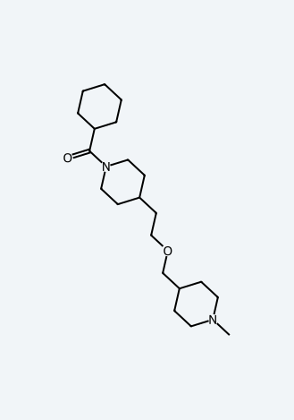 CN1CCC(COCCC2CCN(C(=O)C3CCCCC3)CC2)CC1